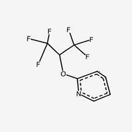 FC(F)(F)C(Oc1[c]cccn1)C(F)(F)F